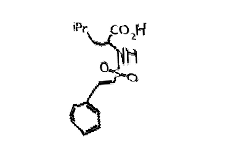 CC(C)CC(NS(=O)(=O)/C=C/c1ccccc1)C(=O)O